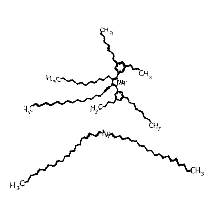 CCCCCCCCCCCCCCCC#CC1=C(c2cc(CCCC)cc(CCCCCCCC)c2)[N+](=[N-])C(c2cc(CCCC)cc(CCCCCCCC)c2)=C1CCCCCCCCCCCC.CCCCCCCCCCCCCCCCCCCC[CH2][Ni][CH2]CCCCCCCCCCCCCCCCCCCC